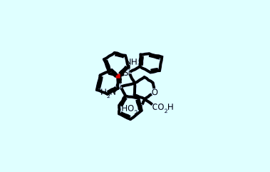 N[Si](c1ccccc1)(c1ccccc1)C1([Si](N)(c2ccccc2)c2ccccc2)CCOC(C(=O)O)(C(=O)O)C1